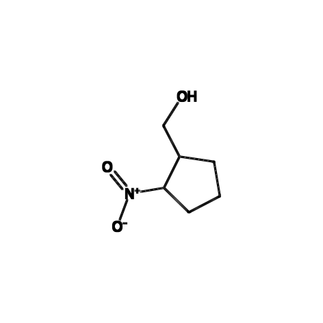 O=[N+]([O-])C1CCCC1CO